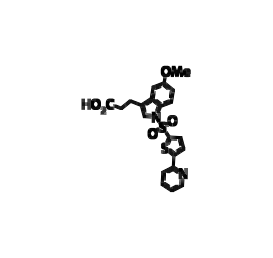 COc1ccc2c(c1)c(CCC(=O)O)cn2S(=O)(=O)c1ccc(-c2ccccn2)s1